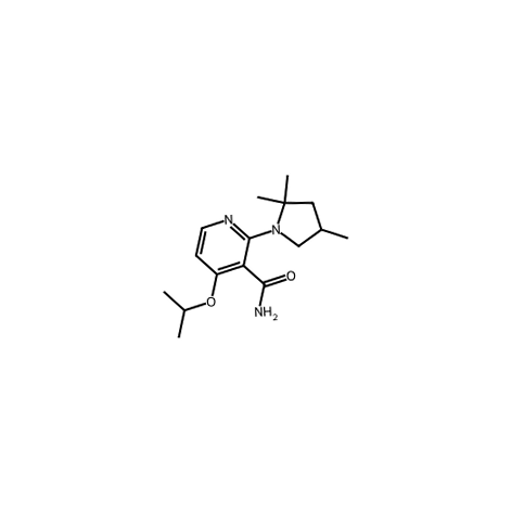 CC1CN(c2nccc(OC(C)C)c2C(N)=O)C(C)(C)C1